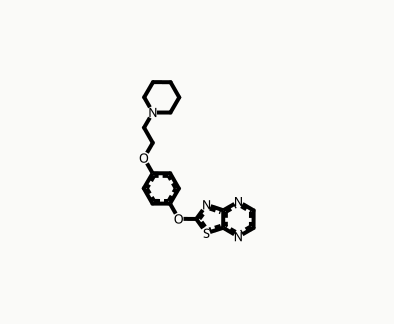 c1cnc2sc(Oc3ccc(OCCN4CCCCC4)cc3)nc2n1